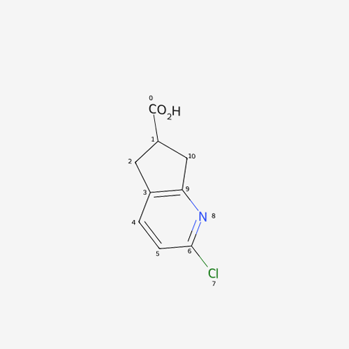 O=C(O)C1Cc2ccc(Cl)nc2C1